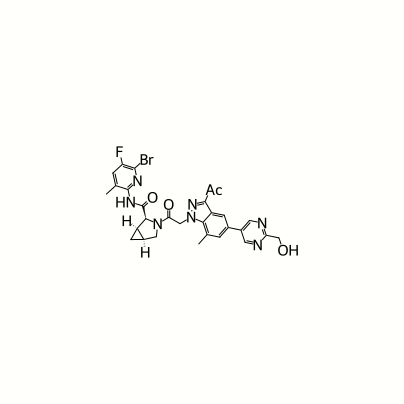 CC(=O)c1nn(CC(=O)N2C[C@H]3C[C@H]3[C@H]2C(=O)Nc2nc(Br)c(F)cc2C)c2c(C)cc(-c3cnc(CO)nc3)cc12